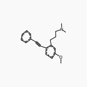 COc1ccc(C#Cc2ccccc2)c(CCCN(C)C)c1